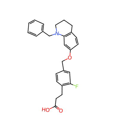 O=C(O)CCc1ccc(COc2ccc3c(c2)N(Cc2ccccc2)CCC3)cc1F